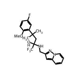 COc1ccc(F)cc1C(C)(C)CC(O)(NCc1cc2ccccn2n1)C(F)(F)F